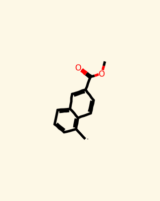 [CH2]c1cccc2cc(C(=O)OC)ccc12